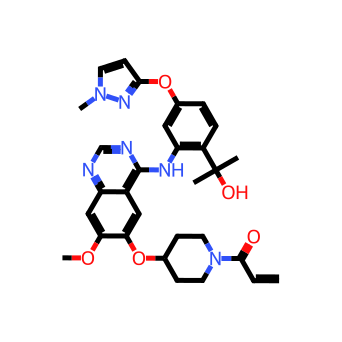 C=CC(=O)N1CCC(Oc2cc3c(Nc4cc(Oc5ccn(C)n5)ccc4C(C)(C)O)ncnc3cc2OC)CC1